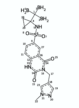 BC(B)(B)C1(NS(=O)(=O)c2ccc3[nH]c(=O)n(Cc4cnn(C)c4)c(=O)c3c2)CC1